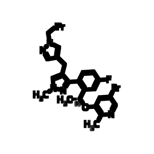 Cc1ncc(Br)cc1O[C@H](C)c1cc(F)ccc1-c1nn(C)cc1Cc1cnn(CC(C)C)c1